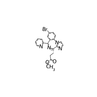 COC(=O)CC[C@@H]1N=C(c2ccccn2)c2cc(Br)ccc2-n2ccnc21